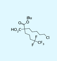 CCC(C)OC(=O)C(CCCCCCl)(CCCC(F)(F)C(F)(F)F)C(=O)O